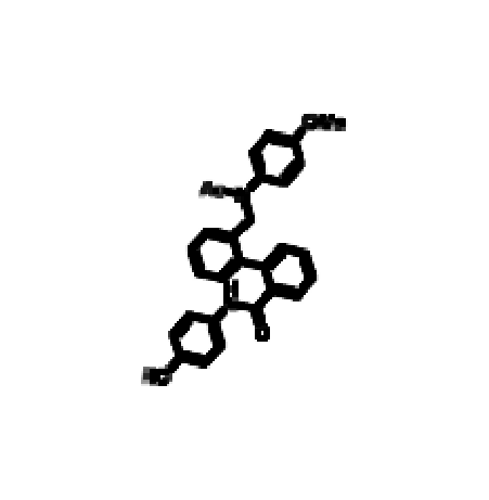 COc1ccc(N(Cc2ccccc2-c2ccccc2C(=O)Nc2ccc(O)cc2)C(C)=O)cc1